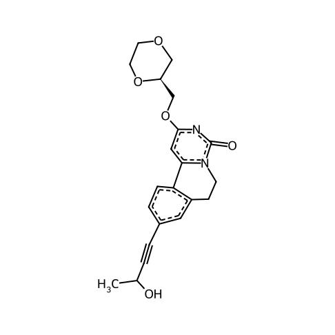 CC(O)C#Cc1ccc2c(c1)CCn1c-2cc(OC[C@@H]2COCCO2)nc1=O